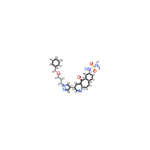 CN(C)S(=O)(=O)Nc1ccc2ccc3ncc(-c4cnn(CCCOCc5ccccc5)c4)cc3c(=O)c2c1